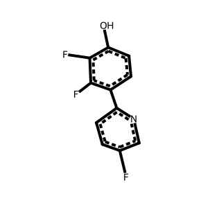 Oc1ccc(-c2ccc(F)cn2)c(F)c1F